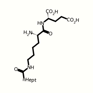 CCCCCCCC(=O)NCCCC[C@H](N)C(=O)N[C@@H](CCC(=O)O)C(=O)O